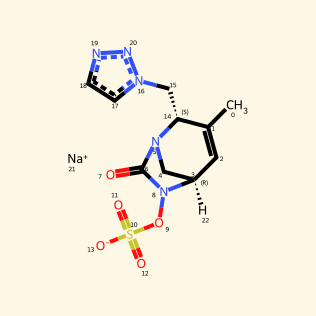 CC1=C[C@@H]2CN(C(=O)N2OS(=O)(=O)[O-])[C@@H]1Cn1ccnn1.[Na+]